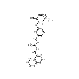 CC(C)OC(Cc1cccc(OCC(O)COc2cccc3c2NCCC3)c1)C(=O)O